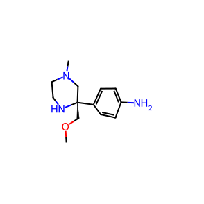 COC[C@]1(c2ccc(N)cc2)CN(C)CCN1